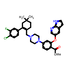 COC(=O)c1ccc(N2CCN(CC3=C(c4ccc(Cl)c(F)c4)CC(C)(C)CC3)CC2)cc1Oc1cnc2[nH]ccc2c1